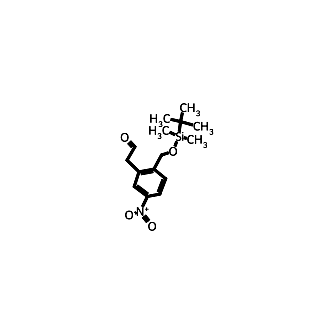 CC(C)(C)[Si](C)(C)OCc1ccc([N+](=O)[O-])cc1CC=O